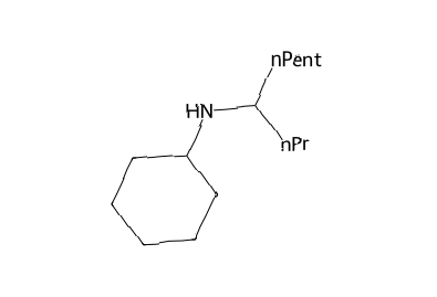 CCCCCC(CCC)NC1CCCCC1